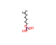 CC(C)CCCCCOP(O)O